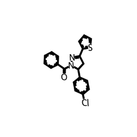 O=C(c1ccccc1)N1N=C(c2cccs2)CC1c1ccc(Cl)cc1